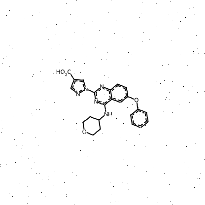 O=C(O)c1cnn(-c2nc(NC3CCOCC3)c3cc(Oc4ccccc4)ccc3n2)c1